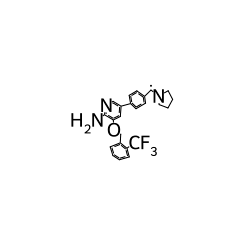 Nc1ncc(-c2ccc([CH]N3CCCC3)cc2)cc1OCc1ccccc1C(F)(F)F